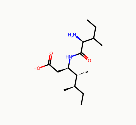 CCC(C)[C@H](N)C(=O)N[C@H](CC(=O)O)[C@H](C)[C@H](C)CC